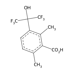 Cc1ccc(C(O)(C(F)(F)F)C(F)(F)F)c(C)c1C(=O)O